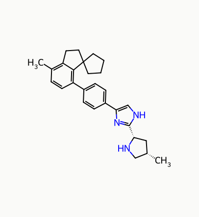 Cc1ccc(-c2ccc(-c3c[nH]c([C@@H]4C[C@H](C)CN4)n3)cc2)c2c1CCC21CCCC1